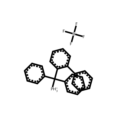 F[B-](F)(F)F.[PH3+]C(c1ccccc1)(c1ccccc1)c1ccccc1-c1ccccc1